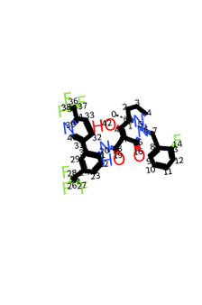 C[C@]12CCCN1N(Cc1ccccc1F)C(=O)C(C(=O)Nc1ccc(C(F)(F)F)cc1-c1ccc(C(F)(F)F)nc1)=C2O